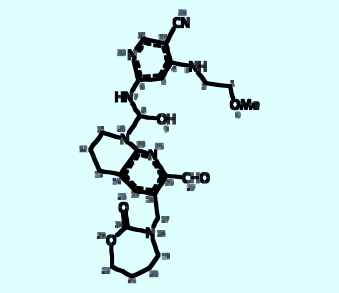 COCCNc1cc(NC(O)N2CCCc3cc(CN4CCCCOC4=O)c(C=O)nc32)ncc1C#N